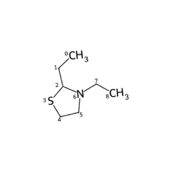 CCC1SCCN1CC